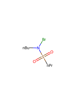 CCCCN(Br)S(=O)(=O)CCC